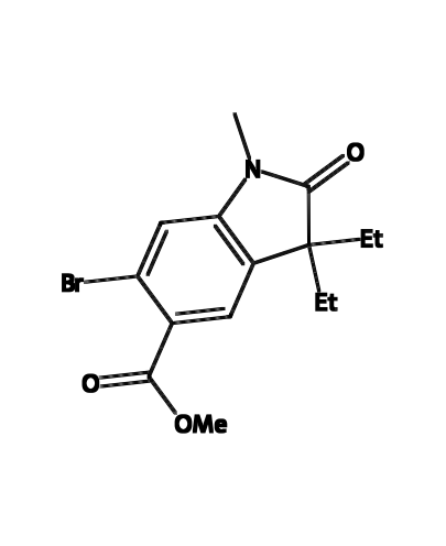 CCC1(CC)C(=O)N(C)c2cc(Br)c(C(=O)OC)cc21